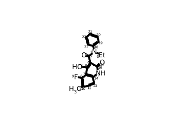 CCN(C(=O)c1c(O)c2c(F)c(C)ccc2[nH]c1=O)c1ccccc1